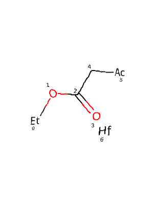 CCOC(=O)CC(C)=O.[Hf]